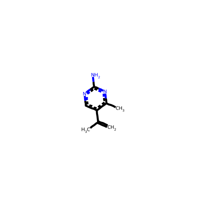 C=C(C)c1cnc(N)nc1C